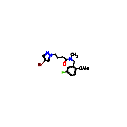 COc1ccc(F)cc1CN(C)C(=O)CCCn1cc(Br)cn1